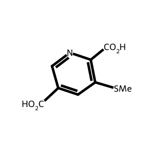 CSc1cc(C(=O)O)cnc1C(=O)O